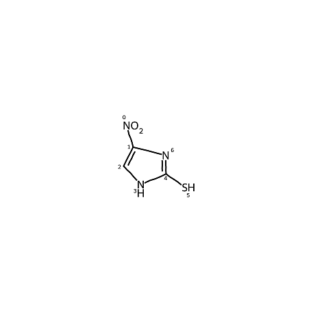 O=[N+]([O-])c1c[nH]c(S)n1